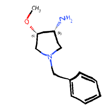 CO[C@H]1CN(Cc2ccccc2)C[C@H]1N